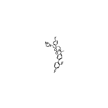 C[C@@H](c1ccc(-c2ccc(F)cc2F)cc1)N1CCC(CCn2ccnc2)(c2ccc(F)cc2)OC1=O